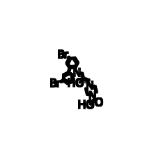 O=C(O)N1CCN(C[C@@H](O)Cn2c3ccc(Br)cc3c3cc(Br)ccc32)CC1